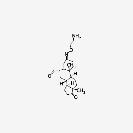 C[C@]12CC/C(=N\OCCN)CC1[C@@H](C=O)C[C@@H]1[C@@H]2CC[C@]2(C)C(=O)CC[C@@H]12